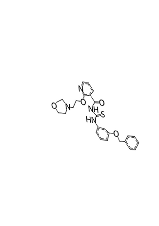 O=C(NC(=S)Nc1cccc(OCc2ccccc2)c1)c1cccnc1OCCN1CCOCC1